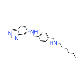 CCCCCCNCc1ccc(CNc2ccc3cncnc3c2)cc1